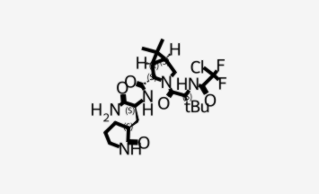 CC(C)(C)[C@H](NC(=O)C(F)(F)Cl)C(=O)N1C[C@H]2[C@@H]([C@H]1C(=O)N[C@@H](C[C@@H]1CCCNC1=O)C(N)=O)C2(C)C